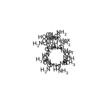 CCCCCCC(=O)N[C@@H](CCN)C(=O)N[C@H](C(=O)NC(CCN)C(=O)N[C@H]1CCNC(=O)[C@H]([C@@H](C)O)NC(=O)[C@H](CCN)NC(=O)[C@H](CCN)NC(=O)[C@H]([C@@H](C)O)NC(=O)[C@@H](CC(C)C)NC(=O)[C@H](CCN)NC1=O)[C@@H](C)O